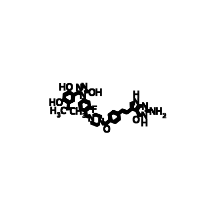 CC(C)c1cc(-c2nnc(O)n2-c2ccc(CN3CCN(C(=O)c4ccc(C=Cc5c[nH]c6nc(N)[nH]c(=O)c56)cc4)CC3)c(F)c2)c(O)cc1O